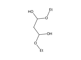 CCOC(O)CC(O)OCC